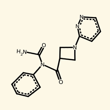 NC(=O)N(C(=O)C1CN(c2cccnn2)C1)c1ccccc1